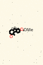 CCCCC12CCCC(=O)C(C)=C1c1ccc(OCOC)cc1C2